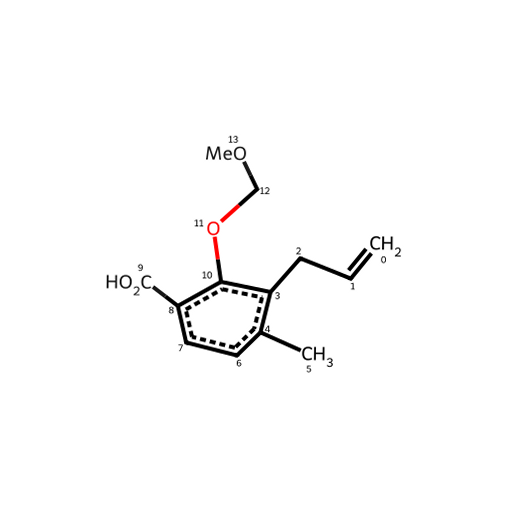 C=CCc1c(C)ccc(C(=O)O)c1OCOC